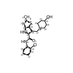 Cc1nc2[nH]c(C(=O)Nc3ccccc3Cl)c(CN3CCC(O)CC3)c2s1